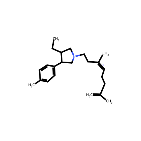 C=C(C)CC/C=C(/C)CCN1CC(CC)C(c2ccc(C)cc2)C1